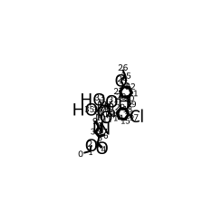 CCOC(=O)c1cnn(C[C@H]2O[C@@H](c3ccc(Cl)c(Cc4ccc(OCC)cc4)c3)[C@H](O)[C@H](O)[C@H]2O)c1